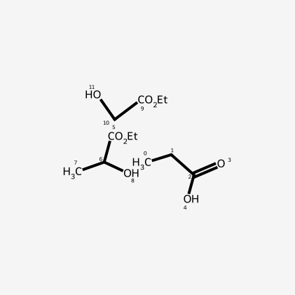 CCC(=O)O.CCOC(=O)C(C)O.CCOC(=O)CO